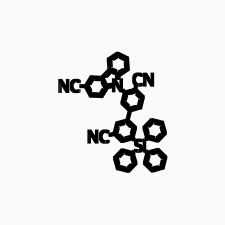 N#Cc1cc(-c2ccc(C#N)c(-n3c4ccccc4c4cc(C#N)ccc43)c2)cc([Si](c2ccccc2)(c2ccccc2)c2ccccc2)c1